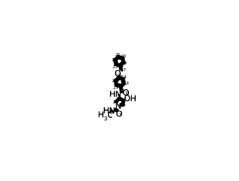 CNC(=O)N1CC(O)C(NC(=O)c2ccc(OCc3ccccc3)cc2)C1